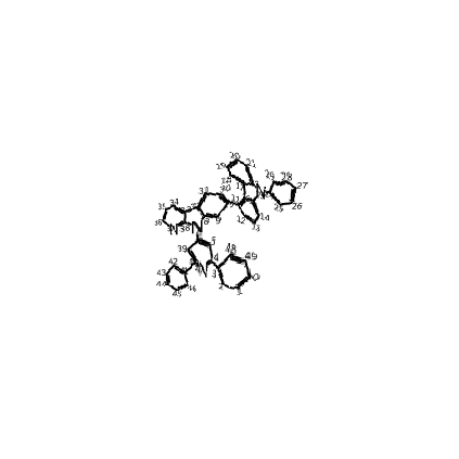 c1ccc(-c2cc(-n3c4cc(-c5cccc6c5c5ccccc5n6-c5ccccc5)ccc4c4cccnc43)cc(-c3ccccc3)n2)cc1